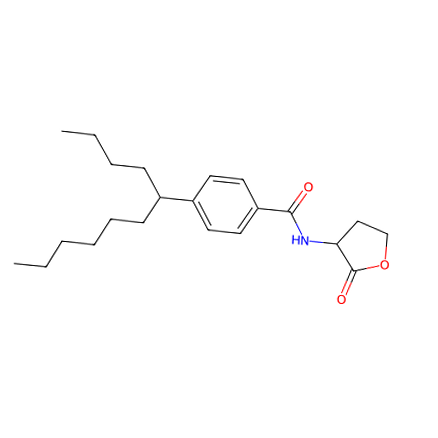 CCCCCCC(CCCC)c1ccc(C(=O)NC2CCOC2=O)cc1